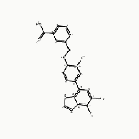 O=C(O)c1cccc(COc2ccc(-c3cc(F)c(F)c4ccoc34)cc2F)c1